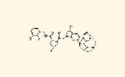 CC(=O)c1cn(CC(=O)N2C[C@H](F)C[C@H]2C(=O)NCc2cccc(Cl)c2F)c2cc(OCC3=C4CCC(=C3)CCc3c#cc(cc3)CC4)ccc12